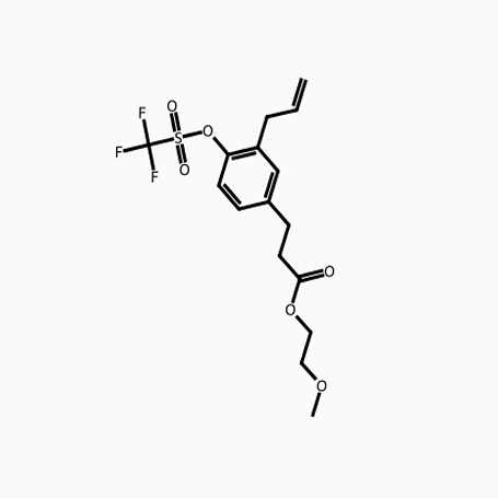 C=CCc1cc(CCC(=O)OCCOC)ccc1OS(=O)(=O)C(F)(F)F